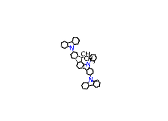 CC1(C)c2cc(-n3c4ccccc4c4ccccc43)ccc2-c2ccc3c4cc(-n5c6ccccc6c6ccccc65)ccc4n(-c4ccccc4)c3c21